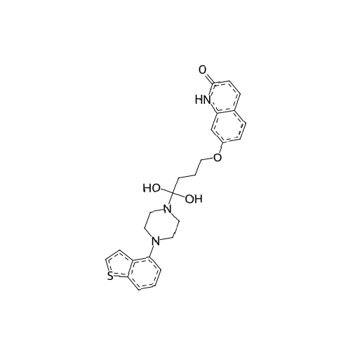 O=c1ccc2ccc(OCCCC(O)(O)N3CCN(c4cccc5sccc45)CC3)cc2[nH]1